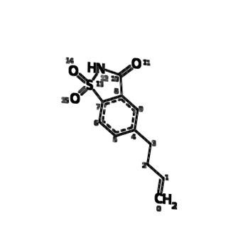 C=CCCc1ccc2c(c1)C(=O)NS2(=O)=O